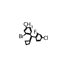 Cc1ccc(C(=C2CCC2)c2ccc(Cl)cc2F)c(Br)c1